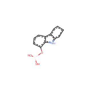 OB(O)Oc1cccc2c1[nH]c1ccccc12